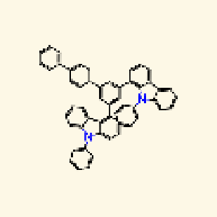 c1ccc(-c2ccc(-c3cc(-c4cccc5c4c4ccccc4n5-c4ccccc4)cc(-c4cccc5c6ccccc6n(-c6ccccc6)c45)c3)cc2)cc1